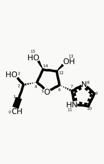 C#CC(O)[C@H]1O[C@@H](c2ncc[nH]2)[C@H](O)[C@@H]1O